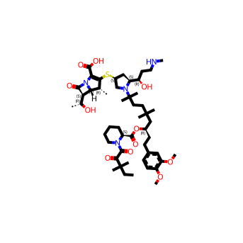 CCC(C)(C)C(=O)C(=O)N1CCCC[C@H]1C(=O)O[C@H](CCc1ccc(OC)c(OC)c1)CC(C)(C)CCC(C)(C)N1C[C@@H](SC2=C(C(=O)O)N3C(=O)[C@H]([C@@H](C)O)[C@H]3[C@H]2C)C[C@H]1[C@H](O)CCNC